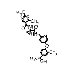 Cc1ncc(C(=O)NC2(C(=O)NCc3ccc(Oc4ccc(C(C)O)cc4C(F)(F)F)cn3)CC2)c(C)n1